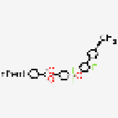 CC#Cc1ccc(-c2ccc(OC(F)(F)C3CCC(C4OCC(C5CCC(CCCCC)CC5)CO4)CC3)cc2F)cc1